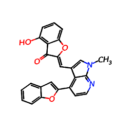 Cn1cc(/C=C2\Oc3cccc(O)c3C2=O)c2c(-c3cc4ccccc4o3)ccnc21